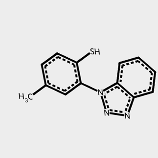 Cc1ccc(S)c(-n2nnc3ccccc32)c1